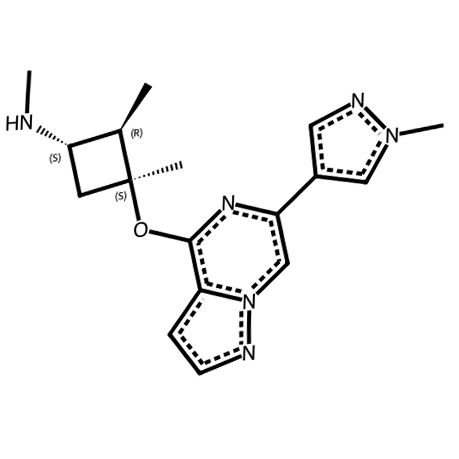 CN[C@H]1C[C@](C)(Oc2nc(-c3cnn(C)c3)cn3nccc23)[C@@H]1C